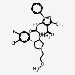 COCCN1C[C@H](NC(=O)Nc2c(C(N)=O)c(C)nn2-c2ccccc2)[C@@H](c2ccc(F)c(Cl)c2)C1